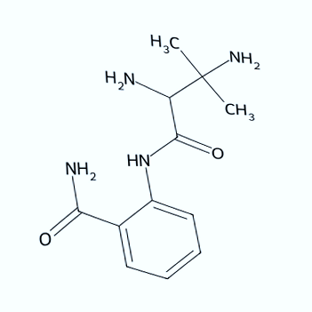 CC(C)(N)C(N)C(=O)Nc1ccccc1C(N)=O